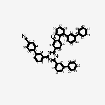 N#Cc1ccc(-c2cccc(-c3nc(-c4cccc(-c5ccccc5)c4)nc(-c4ccc5c(c4)oc4cccc(-c6cccc(-c7ccccc7)c6)c45)n3)c2)cc1